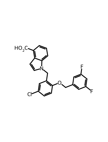 O=C(O)c1cccc2c1ccn2Cc1cc(Cl)ccc1OCc1cc(F)cc(F)c1